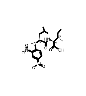 CC[C@H](C)[C@H](NC(=O)[C@H](CC(C)C)Nc1ccc([N+](=O)[O-])cc1[N+](=O)[O-])C(=O)O